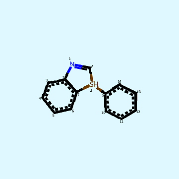 [C]1=Nc2ccccc2[SH]1c1c[c]ccc1